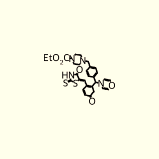 CCOC(=O)N1CCN(Cc2ccc(C(C3=C(C=C4SC(=S)NC4=O)C=CC(=O)C3)N3C=COC=C3)cc2)CC1